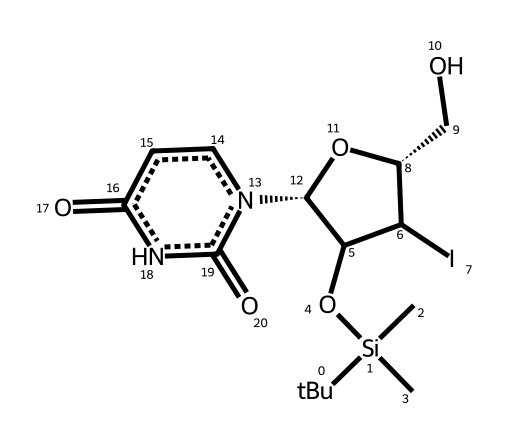 CC(C)(C)[Si](C)(C)OC1C(I)[C@@H](CO)O[C@H]1n1ccc(=O)[nH]c1=O